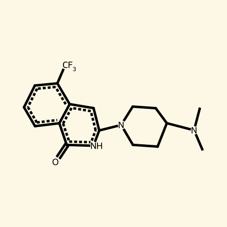 CN(C)C1CCN(c2cc3c(C(F)(F)F)cccc3c(=O)[nH]2)CC1